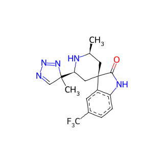 C[C@H]1C[C@@]2(C[C@@H](C3(C)C=NN=N3)N1)C(=O)Nc1ccc(C(F)(F)F)cc12